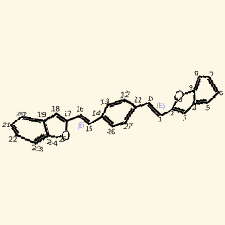 C(=C\c1cc2ccccc2o1)/c1ccc(/C=C/c2cc3ccccc3o2)cc1